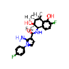 CC1c2c(ccc(F)c2O)C(NC(=O)c2ccn(-c3ccc(F)cc3)c2N)[C@](O)(C(F)(F)F)[C@@H]1C